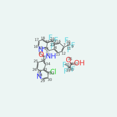 O=C(N[C@@H](c1ccc(C(F)(F)F)cc1)c1ncccc1C(F)(F)F)c1ccc2nccc(Cl)c2c1.O=C(O)C(F)(F)F